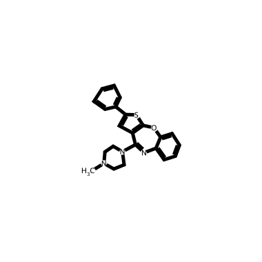 CN1CCN(C2=Nc3ccccc3Oc3sc(-c4ccccc4)cc32)CC1